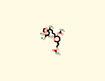 CC(=O)OCC=C1CC[C@@H](OC(C)=O)[C@](C)(CCCC(C)C2(CC=C(C)C)OCCO2)OC1